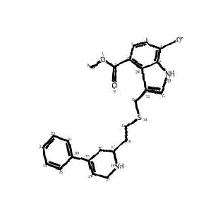 COC(=O)c1ccc(Cl)c2[nH]cc(CSCCC3CC(c4ccccc4)=CCN3)c12